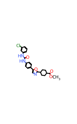 COC(=O)C1CCC(c2ncc(-c3ccc(NC(=O)Nc4cccc(Cl)c4)cc3)o2)CC1